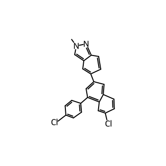 Cn1cc2cc(-c3cc(-c4ccc(Cl)cc4)c4cc(Cl)ccc4c3)ccc2n1